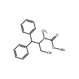 CN(C(=O)OC(C)(C)C)C(CC#N)C(c1ccccc1)c1ccccc1